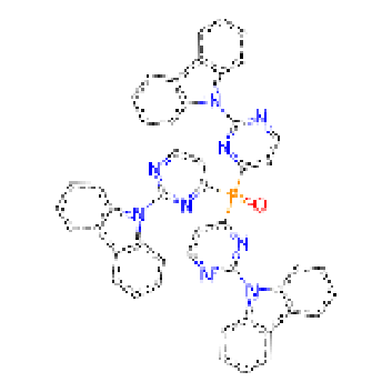 O=P(c1ccnc(-n2c3ccccc3c3ccccc32)n1)(c1ccnc(-n2c3ccccc3c3ccccc32)n1)c1ccnc(-n2c3ccccc3c3ccccc32)n1